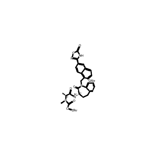 COc1ccc2cc(-c3noc(=O)[nH]3)ccc2c1CN1C(=O)[C@@H](NC(=O)[C@H](C)N(C)C(=O)OC(C)(C)C)CCc2ccccc21